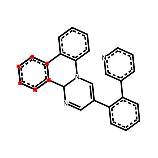 C1=NC(c2ccccc2)N(c2ccccc2-c2cccnc2)C=C1c1ccccc1-c1cccnc1